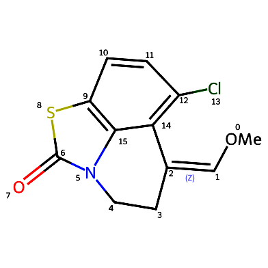 CO/C=C1/CCn2c(=O)sc3ccc(Cl)c1c32